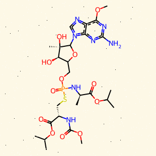 COC(=O)N[C@@H](CSP(=O)(N[C@H](C)C(=O)OC(C)C)OCC1OC(n2cnc3c(OC)nc(N)nc32)[C@](C)(O)[C@@H]1O)C(=O)OC(C)C